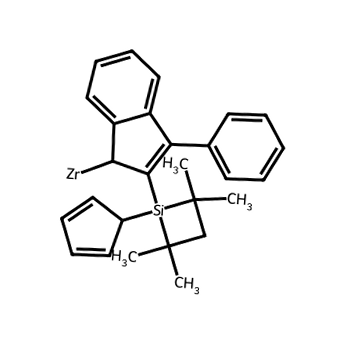 CC1(C)CC(C)(C)[Si]1(C1=C(c2ccccc2)c2ccccc2[CH]1[Zr])C1C=CC=C1